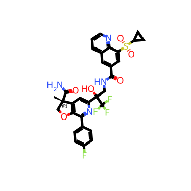 C[C@]1(C(N)=O)COc2c1cc(C(O)(CNC(=O)c1cc(S(=O)(=O)C3CC3)c3ncccc3c1)C(F)(F)F)nc2-c1ccc(F)cc1